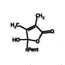 CCCCCC1(O)OC(=O)C(C)=C1C